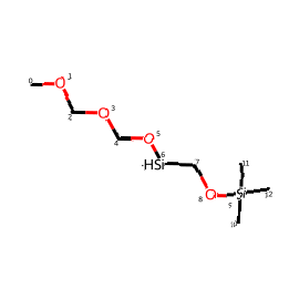 COCOCO[SiH]CO[Si](C)(C)C